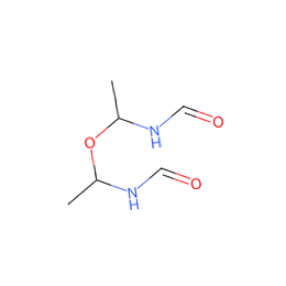 CC(NC=O)OC(C)NC=O